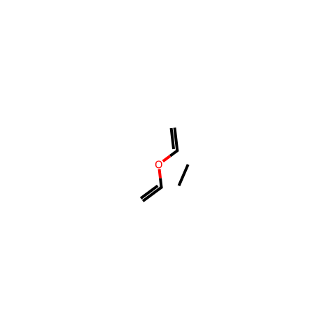 C=COC=C.CC